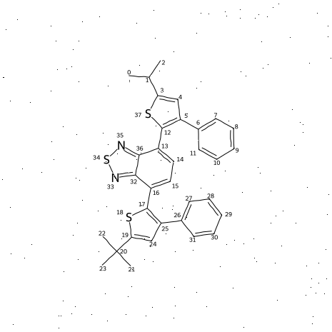 CC(C)c1cc(-c2ccccc2)c(-c2ccc(-c3sc(C(C)(C)C)cc3-c3ccccc3)c3nsnc23)s1